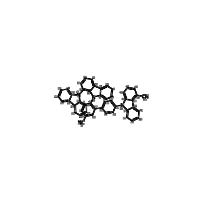 N#Cc1ccc(-n2c3ccccc3c3cccc(-n4c5ccccc5c5ccccc54)c32)c(-c2ccc(-n3c4ccccc4c4c(C#N)cccc43)cc2)c1